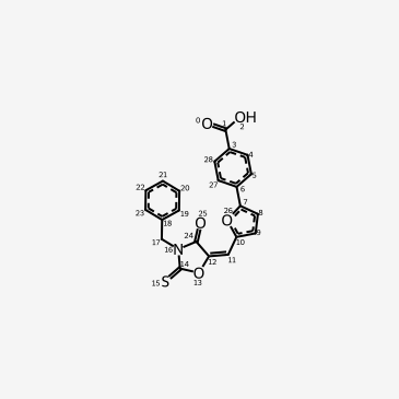 O=C(O)c1ccc(-c2ccc(C=C3OC(=S)N(Cc4ccccc4)C3=O)o2)cc1